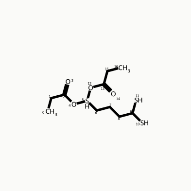 CCC(=O)O[SH](CCCC(S)S)OC(=O)CC